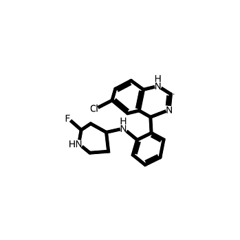 FC1CC(Nc2ccccc2C2N=[C]Nc3ccc(Cl)cc32)CCN1